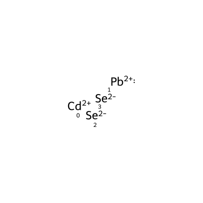 [Cd+2].[Pb+2].[Se-2].[Se-2]